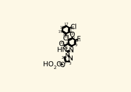 O=C(O)Oc1cnn(-c2nc3cc(F)c(Oc4c(Cl)cccc4Cl)cc3c(=O)[nH]2)c1